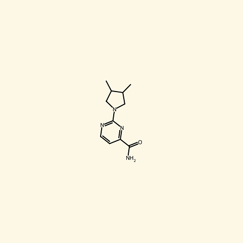 CC1CN(c2nccc(C(N)=O)n2)CC1C